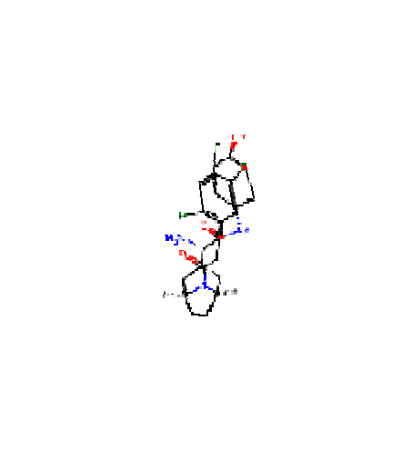 N[C@H](Cc1cc(F)c(F)cc1F)[C@@H]1C[C@H]2CC[C@@H](C1)N2C(=O)CC(=O)N[C@H]1CC[C@H](O)CC1